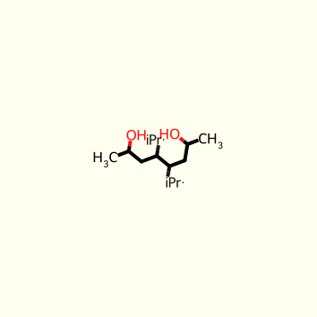 C[C](C)C(CC(C)O)C(CC(C)O)[C](C)C